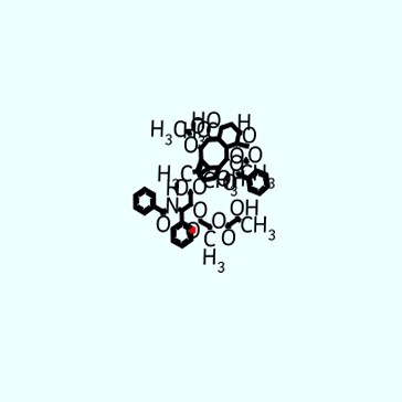 CC(=O)O[C@H]1C(=O)[C@@]2(C)C([C@H](OC(=O)c3ccccc3)[C@]3(O)CCC(C)=C1[C@]3(C)COC(=O)[C@H](OC(=O)C(C)OC(=O)C(C)O)C(NC(=O)c1ccccc1)c1ccccc1)[C@]1(OC(C)=O)CO[C@@H]1C[C@@H]2O